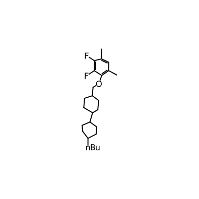 CCCCC1CCC(C2CCC(COc3c(C)cc(C)c(F)c3F)CC2)CC1